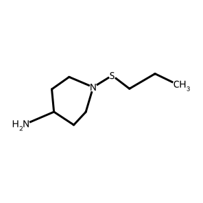 CCCSN1CCC(N)CC1